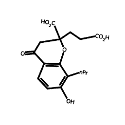 CCCc1c(O)ccc2c1OC(CCC(=O)O)(C(=O)O)CC2=O